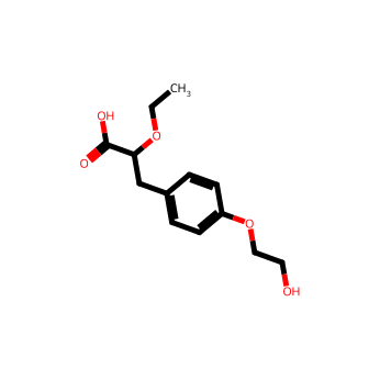 CCOC(Cc1ccc(OCCO)cc1)C(=O)O